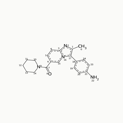 Cc1nc2ccc(C(=O)N3CCCCC3)cn2c1-c1ccc(N)cc1